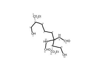 CCOC(=O)[C@@H](CO)CCCC(NC=O)(NC=O)[C@H](CO)C(=O)OCC